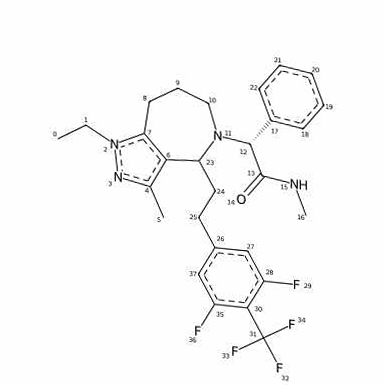 CCn1nc(C)c2c1CCCN([C@@H](C(=O)NC)c1ccccc1)C2CCc1cc(F)c(C(F)(F)F)c(F)c1